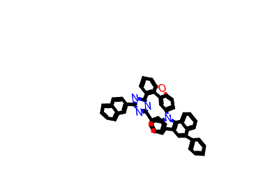 c1ccc(-c2nc(-c3ccc4ccccc4c3)nc(-c3cccc4oc5ccc(-n6c7ccccc7c7cc(-c8ccccc8)c8ccccc8c76)cc5c34)n2)cc1